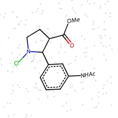 COC(=O)C1CCN(Cl)C1c1cccc(NC(C)=O)c1